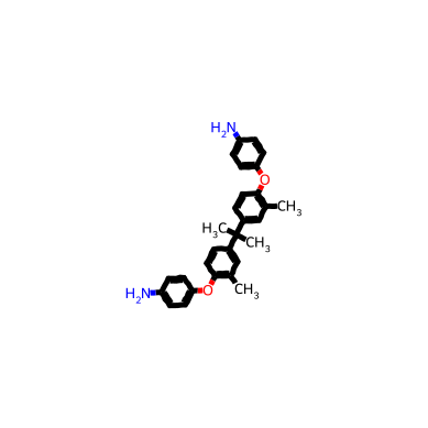 Cc1cc(C(C)(C)c2ccc(Oc3ccc(N)cc3)c(C)c2)ccc1Oc1ccc(N)cc1